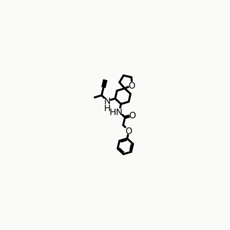 C#CC(C)NC1CC2(CCCO2)CCC1NC(=O)COc1ccccc1